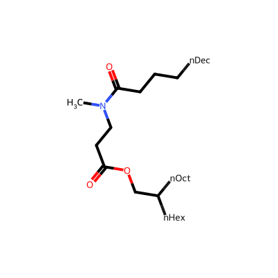 CCCCCCCCCCCCCC(=O)N(C)CCC(=O)OCC(CCCCCC)CCCCCCCC